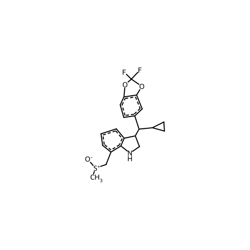 C[S+]([O-])Cc1cccc2c1NCC2C(c1ccc2c(c1)OC(F)(F)O2)C1CC1